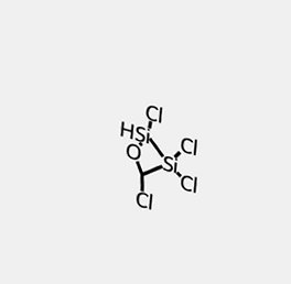 ClC1O[SiH](Cl)[Si]1(Cl)Cl